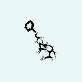 O=C(CSc1ccccc1)N[C@@H]1C(=O)N2C(C(=O)O)=C(CCl)CS[C@H]12